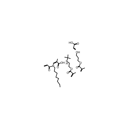 C=C(C)C(=O)OCCCO.C=C(C)C(=O)OCCNC(C)(C)C.C=CC(=O)N(C=C(C)C(=O)O)CCCCCCCC.C=CC(=O)O